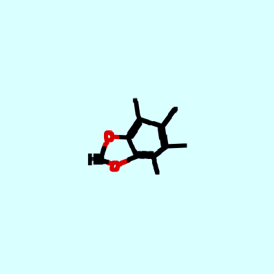 Cc1c(C)c(C)c2c(c1C)OBO2